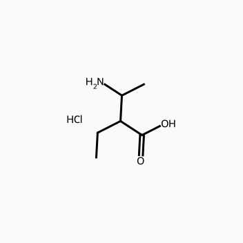 CCC(C(=O)O)C(C)N.Cl